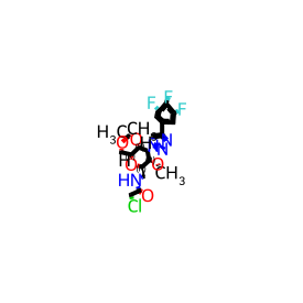 CO[C@@H]1C(n2cc(-c3cc(F)c(F)c(F)c3)nn2)[C@H]2OC(C)(C)OC[C@H]2O[C@@H]1CNC(=O)CCl